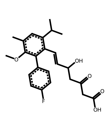 COc1c(C)cc(C(C)C)c(/C=C/C(O)CC(=O)CC(=O)O)c1-c1ccc(F)cc1